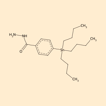 CCC[CH2][Sn]([CH2]CCC)([CH2]CCC)[c]1ccc(C(=O)NN)cc1